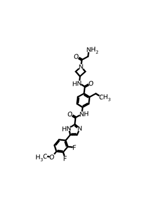 CCc1cc(NC(=O)c2ncc(-c3ccc(OC)c(F)c3F)[nH]2)ccc1C(=O)NC1CN(C(=O)CN)C1